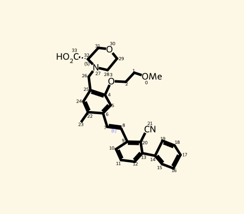 COCCOc1cc(/C=C/c2cccc(-c3ccccc3)c2C#N)c(C)cc1CN1CCOC[C@H]1C(=O)O